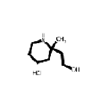 CC1(CCO)CCCCN1.Cl